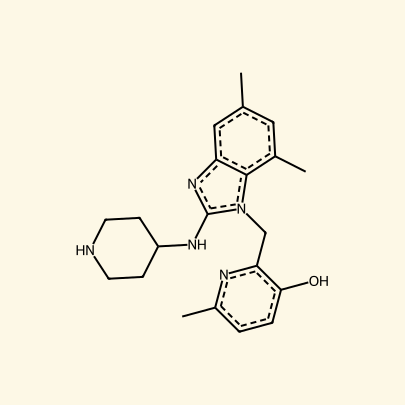 Cc1cc(C)c2c(c1)nc(NC1CCNCC1)n2Cc1nc(C)ccc1O